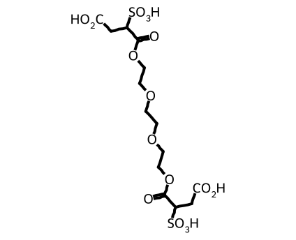 O=C(O)CC(C(=O)OCCOCCOCCOC(=O)C(CC(=O)O)S(=O)(=O)O)S(=O)(=O)O